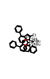 CCC[CH2][Hf](=[SiH2])([CH2]CCC)([c]1ccccc1)([c]1ccccc1)([CH]1C(CC)=Cc2c(-c3ccccc3)cccc21)[CH]1C(CC)=Cc2c(-c3ccccc3)cccc21